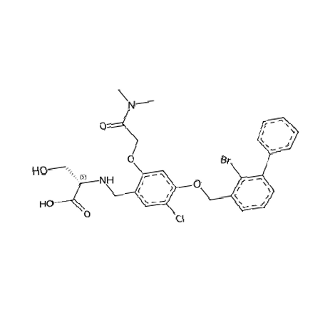 CN(C)C(=O)COc1cc(OCc2cccc(-c3ccccc3)c2Br)c(Cl)cc1CN[C@@H](CO)C(=O)O